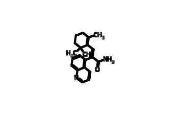 CC1=C(/C=C(/C(N)=O)c2cccc3ncccc23)C(C)(C)CCC1